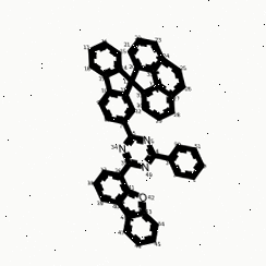 c1ccc(-c2nc(-c3ccc4c(c3)C3(c5ccccc5-4)c4cccc5ccc6cccc3c6c45)nc(-c3cccc4c3oc3ccccc34)n2)cc1